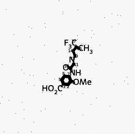 COc1cc(C(=O)O)ccc1NC(=O)C/N=C/CC(C)C(F)(F)F